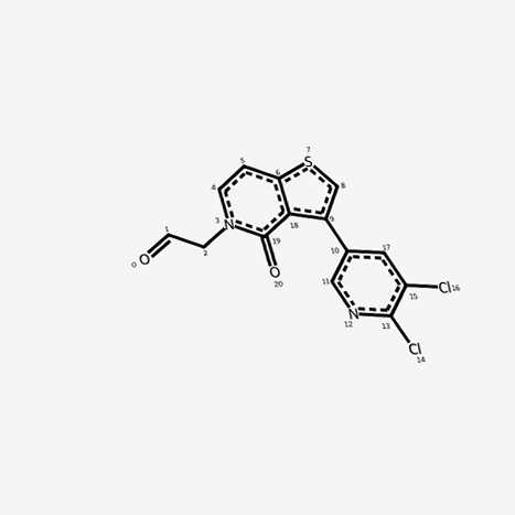 O=CCn1ccc2scc(-c3cnc(Cl)c(Cl)c3)c2c1=O